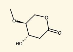 CO[C@H]1COC(=O)C[C@@H]1O